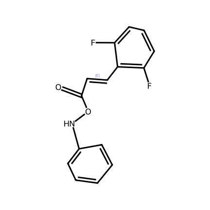 O=C(/C=C/c1c(F)cccc1F)ONc1ccccc1